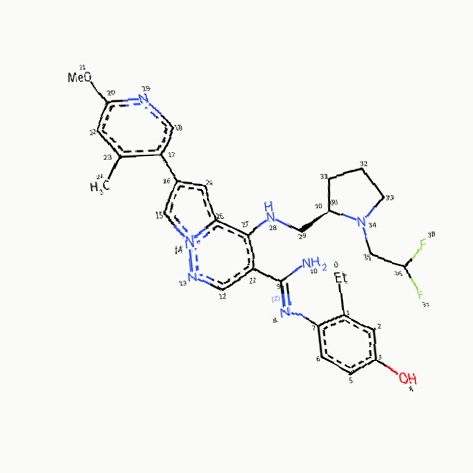 CCc1cc(O)ccc1/N=C(\N)c1cnn2cc(-c3cnc(OC)cc3C)cc2c1NC[C@H]1CCCN1CC(F)F